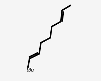 CC=CCCCC=CC(C)(C)C